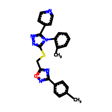 Cc1ccc(-c2noc(CSc3nnc(-c4ccncc4)n3-c3ccccc3C)n2)cc1